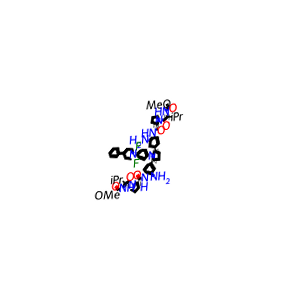 COC(=O)N[C@H](C(=O)N1CCC[C@H]1C(=O)NC1=C(N)CC([C@H]2CC[C@H](c3ccc(NC(=O)[C@@H]4CCCN4C(=O)[C@@H](NC(=O)OC)C(C)C)c(N)c3)N2c2cc(F)c(N3CC=C(c4ccccc4)CC3)c(F)c2)C=C1)C(C)C